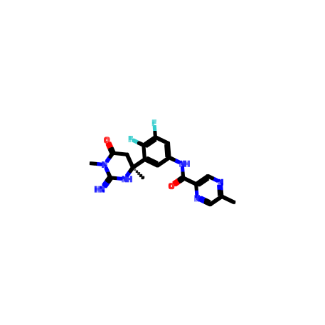 Cc1cnc(C(=O)Nc2cc(F)c(F)c([C@]3(C)CC(=O)N(C)C(=N)N3)c2)cn1